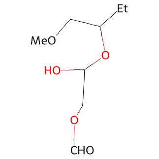 CCC(COC)OC(O)COC=O